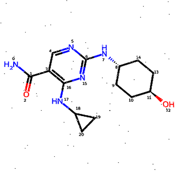 NC(=O)c1cnc(N[C@H]2CC[C@H](O)CC2)nc1NC1CC1